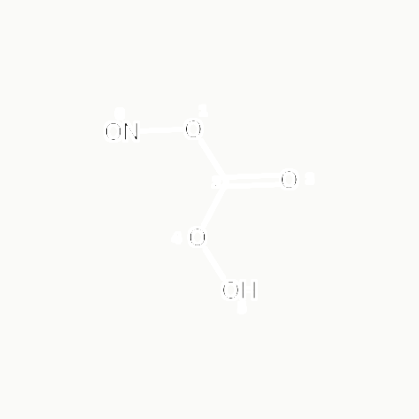 O=NOC(=O)OO